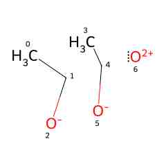 CC[O-].CC[O-].[O+2]